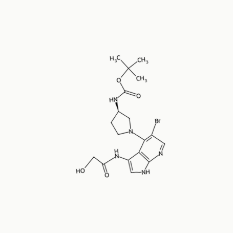 CC(C)(C)OC(=O)N[C@@H]1CCN(c2c(Br)cnc3[nH]cc(NC(=O)CO)c23)C1